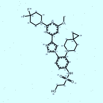 COc1cc(-c2cn(-c3ccc(NS(=O)(=O)CCO)cc3N3CCC4(CC3)CC4)nn2)nc(N2CCC(F)(F)CC2)n1